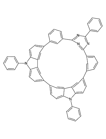 c1ccc(-c2nc3nc(n2)c2cccc(c2)c2ccc4c(c2)c2cc(ccc2n4-c2ccccc2)c2ccc4c(c2)c2cc(ccc2n4-c2ccccc2)c2cccc3c2)cc1